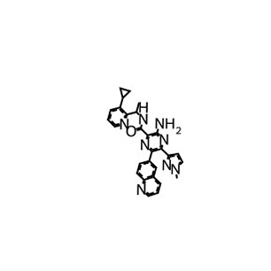 CC(NC(=O)c1nc(-c2ccc3ncccc3c2)c(-c2ccn(C)n2)nc1N)c1ncccc1C1CC1